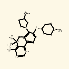 COC1CCN(c2c(O[C@H]3CC[C@H](N)CC3)ccc3c2CC(C)(C)c2c(N)ncnc2-3)C1